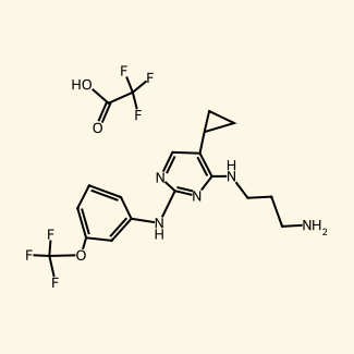 NCCCNc1nc(Nc2cccc(OC(F)(F)F)c2)ncc1C1CC1.O=C(O)C(F)(F)F